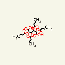 CCCC(=O)OC(C(=O)O)C(OC(=O)CCC)C(OC(=O)CCC)C(OC(=O)CCC)C(=O)O